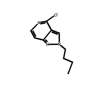 CCCCn1cc2c(Cl)nccc2n1